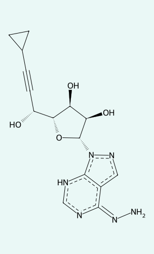 N/N=c1/nc[nH]c2c1cnn2[C@@H]1O[C@H]([C@H](O)C#CC2CC2)[C@@H](O)[C@H]1O